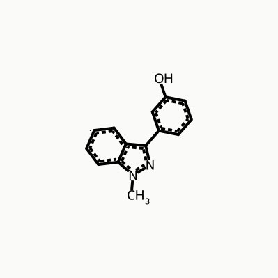 Cn1nc(-c2cccc(O)c2)c2c[c]ccc21